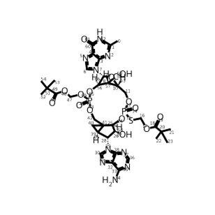 Cc1nc2c(ncn2[C@@H]2O[C@@H]3COP(=O)(SCOC(=O)C(C)(C)C)O[C@H]4[C@@H](O)[C@H](n5cnc6c(N)ncnc65)[C@H]5CC54COP(=O)(OCOC(=O)C(C)(C)C)O[C@@H]2[C@@H]3CO)c(=O)[nH]1